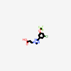 O=C(O)C=Cn1cnc(-c2cc(Cl)cc(OC(F)(F)F)c2)n1